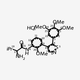 COc1cc(-c2sncc2-c2cccc(NC(=O)C(N)C(C)C)c2OC)cc(OC)c1OC.Cl